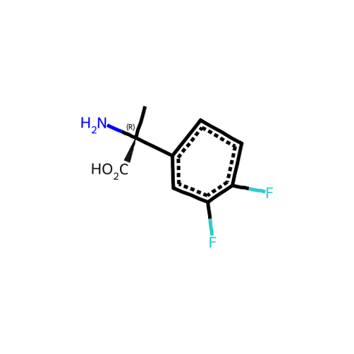 C[C@](N)(C(=O)O)c1ccc(F)c(F)c1